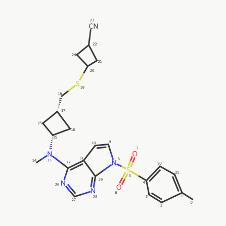 Cc1ccc(S(=O)(=O)n2ccc3c(N(C)[C@H]4C[C@@H](CSC5CC(C#N)C5)C4)ncnc32)cc1